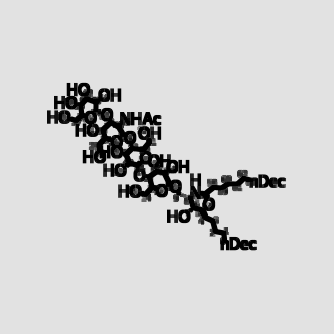 CCCCCCCCCCCCC/C=C/[C@@H](O)[C@H](CO[C@@H]1OC(CO)[C@@H](O[C@@H]2OC(CO)[C@H](O[C@@H]3OC(CO)[C@H](O)[C@H](O[C@@H]4OC(CO)[C@H](O)[C@H](O)C4O)C3NC(C)=O)[C@H](O)C2O)[C@H](O)C1O)NC(=O)CCCCCCCCCCCCCCC